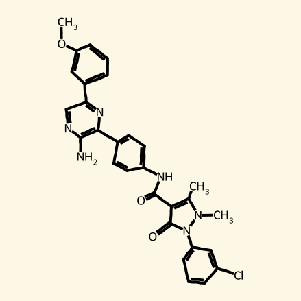 COc1cccc(-c2cnc(N)c(-c3ccc(NC(=O)c4c(C)n(C)n(-c5cccc(Cl)c5)c4=O)cc3)n2)c1